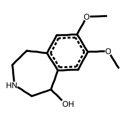 COc1cc2c(cc1OC)C(O)CNCC2